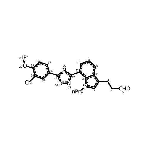 CCCn1cc(CCC=O)c2cccc(-c3noc(-c4ccc(OC(C)C)c(Cl)c4)n3)c21